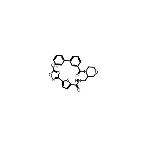 O=C(NCC1COCCN1C(=O)c1cccc(-c2ccccc2)c1)c1ccc(-c2noc(C(F)(F)F)n2)s1